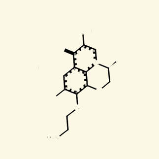 CNCCNc1c(F)cc2c(=O)c(C(=O)O)cn3c2c1OC[C@@H]3C.Cl